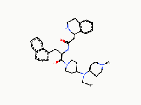 CC(=O)N1CCC(N(CC(C)C)C2CCN(C(=O)[C@@H](Cc3cccc4ccccc34)NC(=O)C[C@H]3NCCc4ccccc43)CC2)CC1